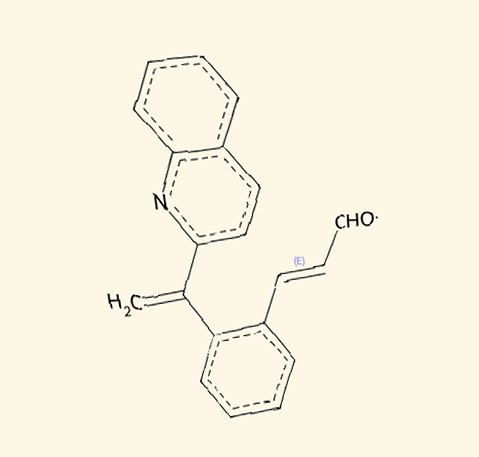 C=C(c1ccc2ccccc2n1)c1ccccc1/C=C/[C]=O